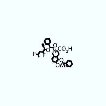 C#C/C(O[C@H](C(=O)N1Cc2ccc(OC)c(OCc3ccccc3)c2C[C@H]1C(=O)O)c1ccccc1)=C(F)\C=C(/C)F